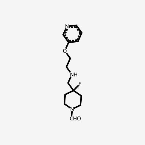 O=CN1CCC(F)(CNCCOc2cccnc2)CC1